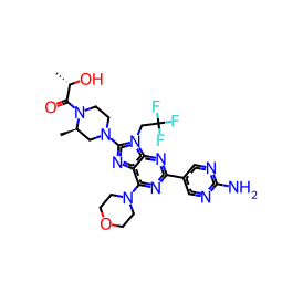 C[C@H](O)C(=O)N1CCN(c2nc3c(N4CCOCC4)nc(-c4cnc(N)nc4)nc3n2CC(F)(F)F)C[C@H]1C